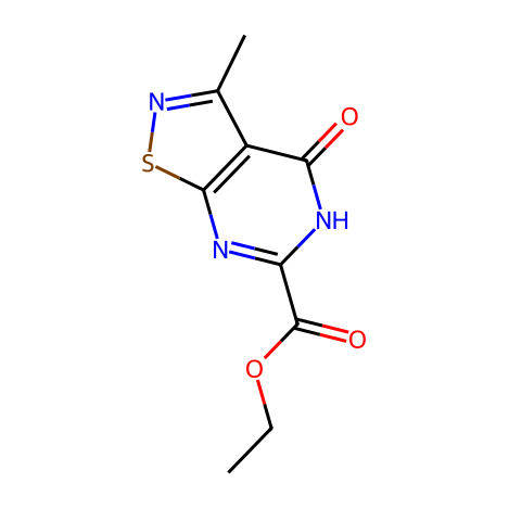 CCOC(=O)c1nc2snc(C)c2c(=O)[nH]1